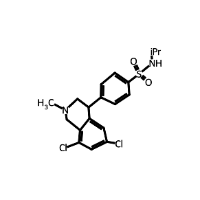 CC(C)NS(=O)(=O)c1ccc(C2CN(C)Cc3c(Cl)cc(Cl)cc32)cc1